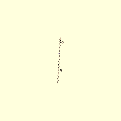 CCCCCCCCC(CCCCCCCC/C=C/CCCCCC(=O)OCC)N(C)C